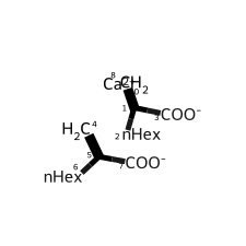 C=C(CCCCCC)C(=O)[O-].C=C(CCCCCC)C(=O)[O-].[Ca+2]